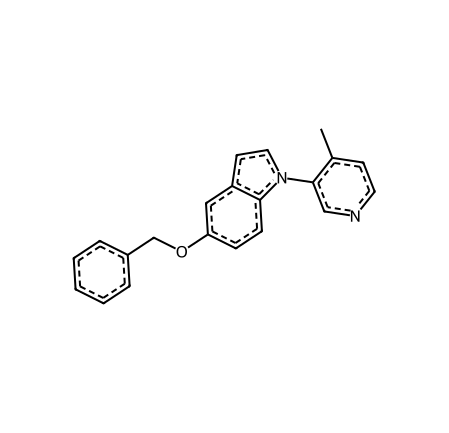 Cc1ccncc1-n1ccc2cc(OCc3ccccc3)ccc21